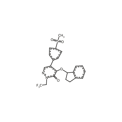 CS(=O)(=O)c1ccc(-c2cnn(CC(F)(F)F)c(=O)c2OC2CCc3ccccc32)cc1